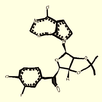 CC1(C)OC2[C@H](n3ccc4c(Cl)ncnc43)O[C@H](C(=O)c3ccc(Cl)c(F)c3)[C@H]2O1